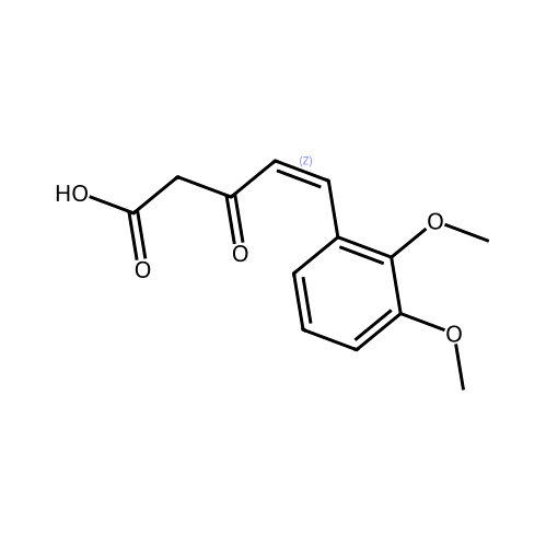 COc1cccc(/C=C\C(=O)CC(=O)O)c1OC